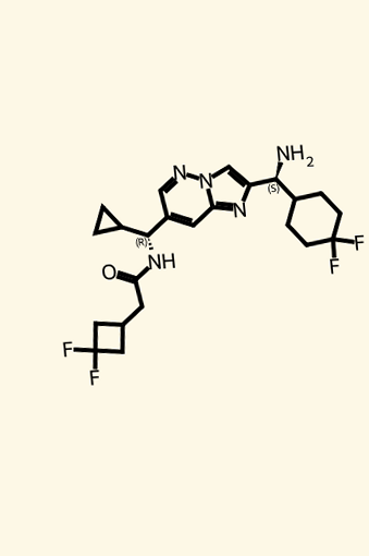 N[C@H](c1cn2ncc([C@H](NC(=O)CC3CC(F)(F)C3)C3CC3)cc2n1)C1CCC(F)(F)CC1